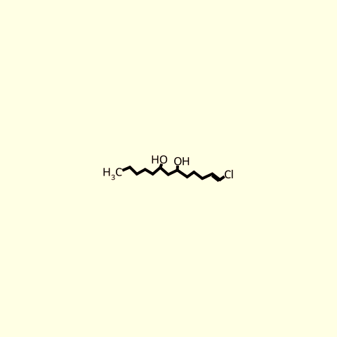 CCCCCC(O)CC(O)CCC/C=C/Cl